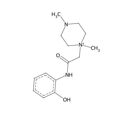 CN1CC[N+](C)(CC(=O)Nc2ccccc2O)CC1